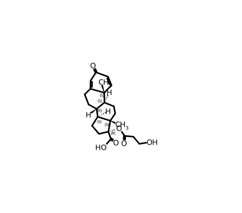 C[C@]12C=CC(=O)C=C1CC[C@@H]1[C@@H]2CC[C@@]2(C)[C@H]1CC[C@]2(OC(=O)CCO)C(=O)O